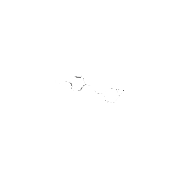 FC(F)(F)c1cnc(OCC2CC3CC3CN2)cn1